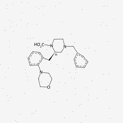 O=C(O)N1CCN(Cc2ccccc2)C[C@H]1Cc1ccccc1N1CCOCC1